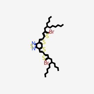 CCCCCCC(CCCC)Cc1cc(-c2cc3c4nsnc4c4cc(-c5cc(CC(CCCC)CCCCCC)c(Br)s5)sc4c3s2)sc1Br